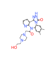 Cc1cc2c(cc1C)-n1c(n[nH]c1=O)-c1cccnc1N2C(=O)CN1CCN(CCO)CC1